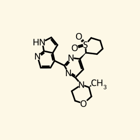 C[C@@H]1COCCN1c1cc([C@@H]2CCCCS2(=O)=O)nc(-c2ccnc3[nH]ccc23)n1